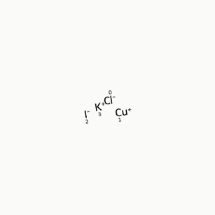 [Cl-].[Cu+].[I-].[K+]